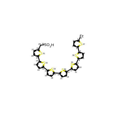 CCc1ccc(-c2ccc(-c3ccc(-c4ccc(-c5ccc(-c6ccc(-c7ccc(CS(=O)(=O)O)s7)s6)s5)s4)s3)s2)s1